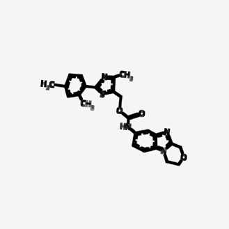 Cc1ccc(-c2nc(C)c(COC(=O)Nc3ccc4c(c3)nc3n4CCOC3)s2)c(C)c1